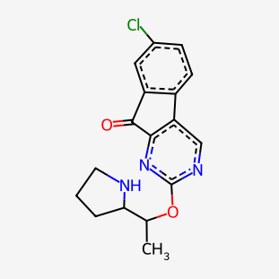 CC(Oc1ncc2c(n1)C(=O)c1cc(Cl)ccc1-2)C1CCCN1